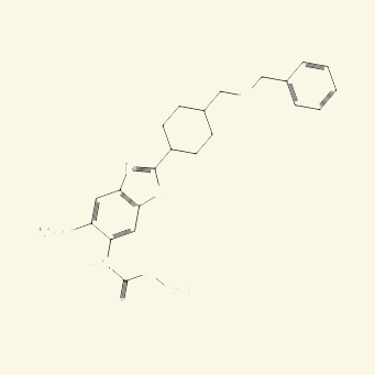 COc1cc2nc(C3CCC(COCc4ccccc4)CC3)sc2cc1NC(=O)OC(C)(C)C